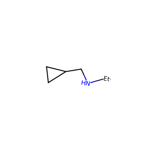 C[CH]NCC1CC1